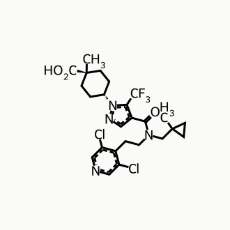 CC1(CN(CCc2c(Cl)cncc2Cl)C(=O)c2cnn([C@H]3CC[C@](C)(C(=O)O)CC3)c2C(F)(F)F)CC1